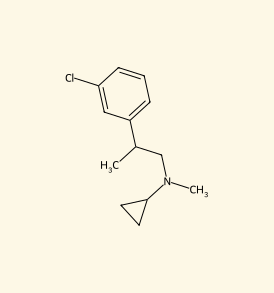 CC(CN(C)C1CC1)c1cccc(Cl)c1